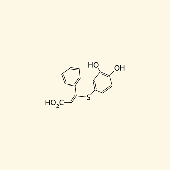 O=C(O)C=C(Sc1ccc(O)c(O)c1)c1ccccc1